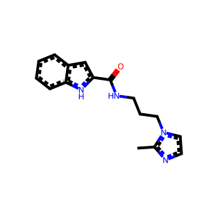 Cc1nccn1CCCNC(=O)c1cc2ccccc2[nH]1